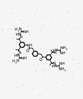 C/C(=N\NC(=N)N)c1cc(NC(=O)Cc2cccc(CC(=O)c3cc(/C(C)=N/NC(=N)N)cc(/C(C)=N/NC(=N)N)c3)c2)cc(/C(C)=N/NC(=N)N)c1